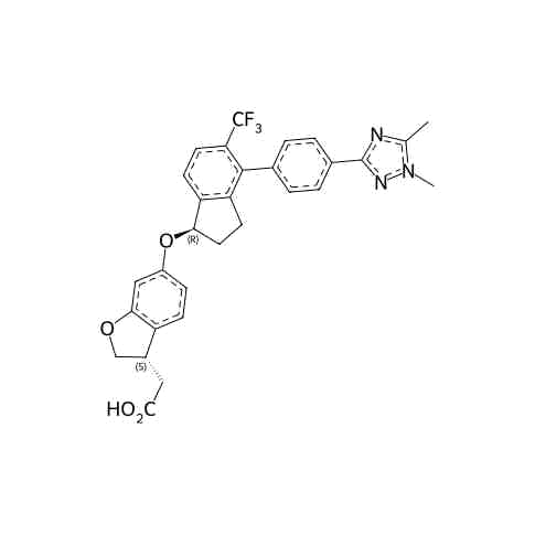 Cc1nc(-c2ccc(-c3c(C(F)(F)F)ccc4c3CC[C@H]4Oc3ccc4c(c3)OC[C@H]4CC(=O)O)cc2)nn1C